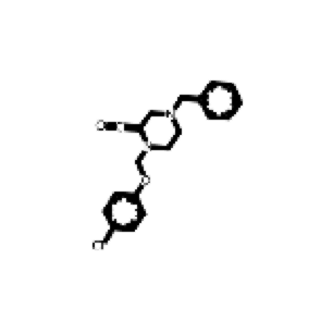 O=C=C1CN(Cc2ccccc2)CCN1COc1ccc(Cl)cc1